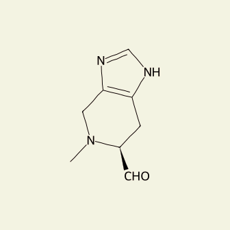 CN1Cc2nc[nH]c2C[C@H]1C=O